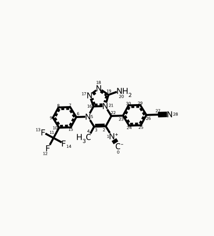 [C-]#[N+]C1=C(C)N(c2cccc(C(F)(F)F)c2)c2nnc(N)n2C1c1ccc(C#N)cc1